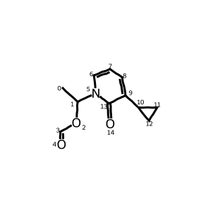 CC(OC=O)n1cccc(C2CC2)c1=O